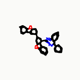 c1ccc(-c2nc(-c3cc(-c4ccc5oc6ccccc6c5c4)cc4oc5ccccc5c34)nc3ccccc23)cc1